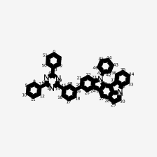 c1ccc(-c2nc(-c3ccccc3)nc(-c3cccc(-c4ccc5c(c4)c4cc6ccn7c8ccccc8c(c4n5-c4ccccc4)c67)c3)n2)cc1